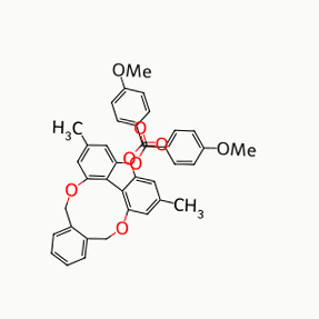 COc1ccc(C(=O)Oc2cc(C)cc3c2-c2c(cc(C)cc2OC(=O)c2ccc(OC)cc2)OCc2ccccc2CO3)cc1